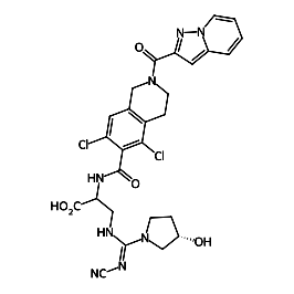 N#C/N=C(\NCC(NC(=O)c1c(Cl)cc2c(c1Cl)CCN(C(=O)c1cc3ccccn3n1)C2)C(=O)O)N1CC[C@H](O)C1